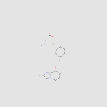 Cc1cn2cccc(OCc3c(Cl)ccc(S(=O)(=O)N4CCC[C@H]4C(=O)O)c3Cl)c2n1